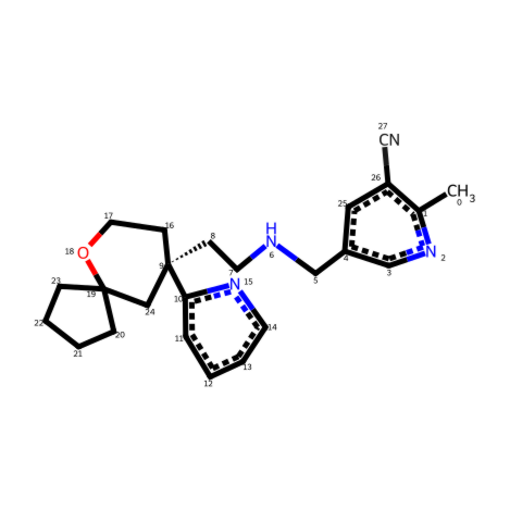 Cc1ncc(CNCC[C@@]2(c3ccccn3)CCOC3(CCCC3)C2)cc1C#N